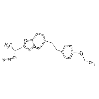 CCOc1ccc(CCc2ccc3oc(C(C)N=[N+]=[N-])cc3c2)cc1